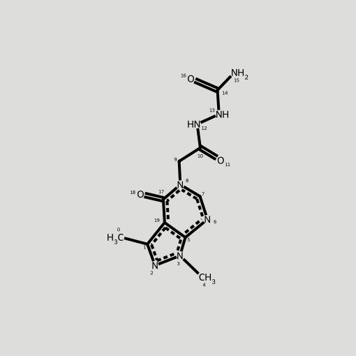 Cc1nn(C)c2ncn(CC(=O)NNC(N)=O)c(=O)c12